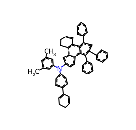 Cc1cc(C)cc(N(c2ccc(C3=CCCC=C3)cc2)c2ccc3c(c2)c2c(c4c(-c5ccccc5)cc(-c5ccccc5)c(-c5ccccc5)c43)C=CCC2)c1